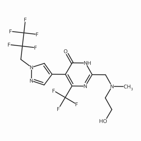 CN(CCO)Cc1nc(C(F)(F)F)c(-c2cnn(CC(F)(F)C(F)(F)F)c2)c(=O)[nH]1